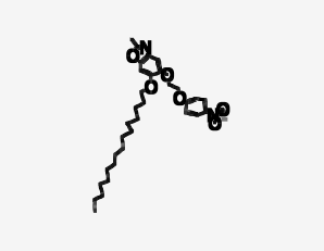 CCCCCCCCCCCCCCCCOc1cc2oc(C)nc2cc1OCCOc1ccc([N+](=O)[O-])cc1